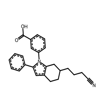 N#CCCCC1CCc2cc(-c3ccccc3)n(-c3cccc(C(=O)O)c3)c2C1